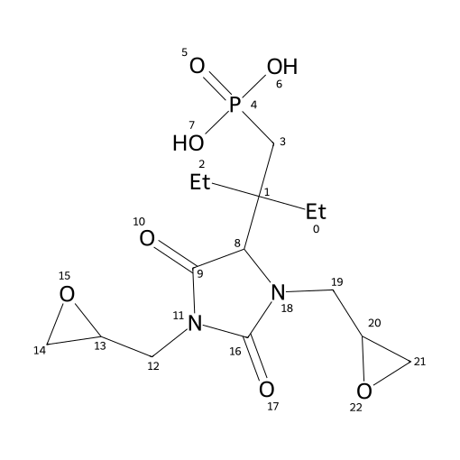 CCC(CC)(CP(=O)(O)O)C1C(=O)N(CC2CO2)C(=O)N1CC1CO1